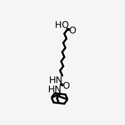 O=C(O)CCCCCCCCCCNC(=O)NC12CC3CC(CC(C3)C1)C2